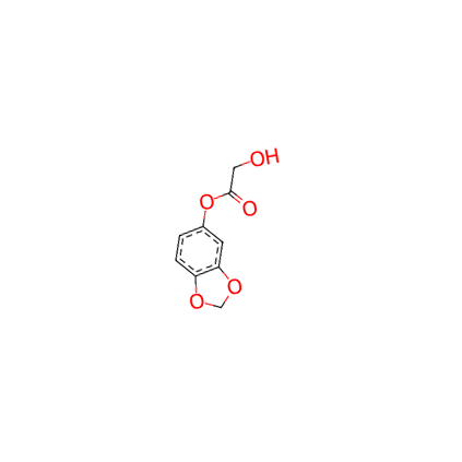 O=C(CO)Oc1ccc2c(c1)OCO2